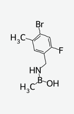 CB(O)NCc1cc(C)c(Br)cc1F